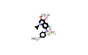 O=C(O)Oc1cn(C2CC2)c2cc(N(C3CCC(C(=O)O)CC3)S(=O)(=O)C(F)(F)F)c(F)cc2c1=O